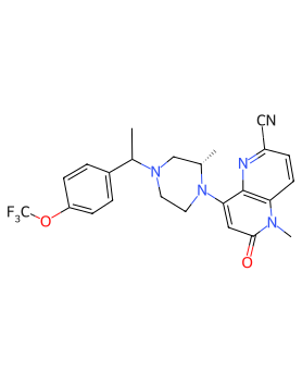 CC(c1ccc(OC(F)(F)F)cc1)N1CCN(c2cc(=O)n(C)c3ccc(C#N)nc23)[C@@H](C)C1